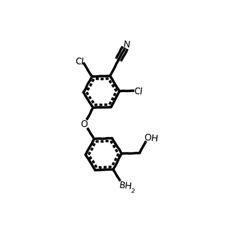 Bc1ccc(Oc2cc(Cl)c(C#N)c(Cl)c2)cc1CO